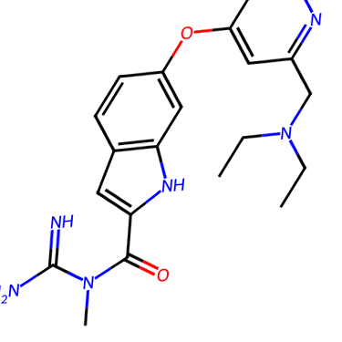 CCN(CC)Cc1cc(Oc2ccc3cc(C(=O)N(C)C(=N)N)[nH]c3c2)ccn1